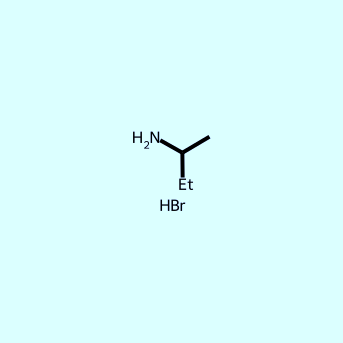 Br.CCC(C)N